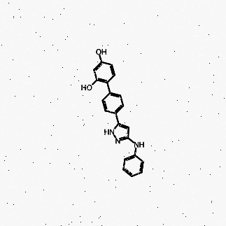 Oc1ccc(-c2ccc(-c3cc(Nc4ccccc4)n[nH]3)cc2)c(O)c1